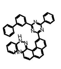 N=C1C=Cc2ccc3ccc(-c4nc(-c5ccccc5)nc(-c5cccc(-c6ccccc6)c5)n4)cc3c2/C1=N/Nc1ccccc1